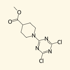 COC(=O)C1CCN(c2nc(Cl)nc(Cl)n2)CC1